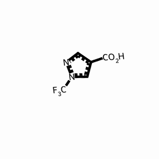 O=C(O)c1cnn(C(F)(F)F)c1